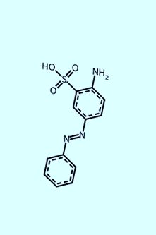 Nc1ccc(N=Nc2ccccc2)cc1S(=O)(=O)O